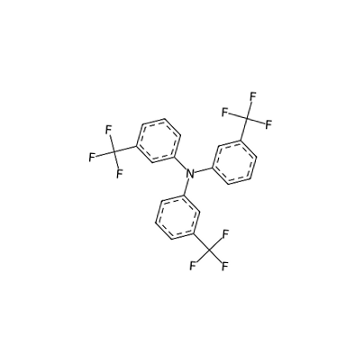 FC(F)(F)c1cccc(N(c2cccc(C(F)(F)F)c2)c2cccc(C(F)(F)F)c2)c1